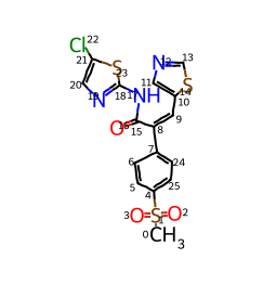 CS(=O)(=O)c1ccc(C(=Cc2cncs2)C(=O)Nc2ncc(Cl)s2)cc1